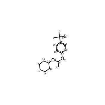 CCC(C)(C)c1ccc(OC(C)OC2CCCCC2)cc1